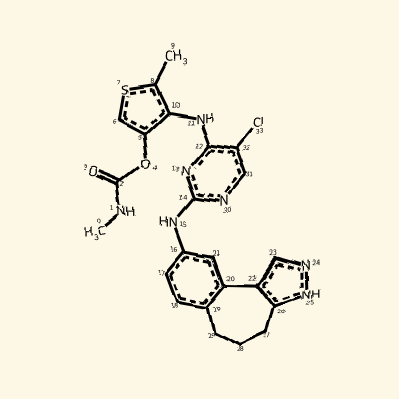 CNC(=O)Oc1csc(C)c1Nc1nc(Nc2ccc3c(c2)-c2cn[nH]c2CCC3)ncc1Cl